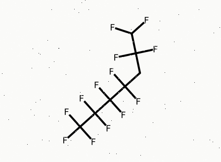 FC(F)C(F)(F)CC(F)(F)C(F)(F)C(F)(F)C(F)(F)F